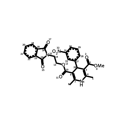 COC(=O)C1=C(C)NC(C)=C(C(=O)OCCN2C(=O)c3ccccc3C2=O)C1c1cccc([N+](=O)[O-])c1